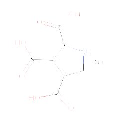 O=C(O)C1CNC(C(=O)O)C1C(=O)O.[Na]